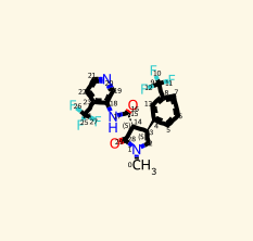 CN1C[C@H](c2cccc(C(F)(F)F)c2)[C@@H](C(=O)Nc2cnccc2C(F)(F)F)C1=O